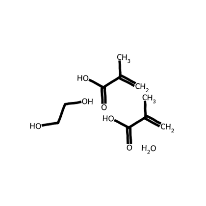 C=C(C)C(=O)O.C=C(C)C(=O)O.O.OCCO